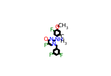 COc1cc(C)c(Nc2nc(=O)c(F)cn2Cc2cc(F)cc(F)c2)cc1F